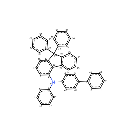 c1ccc(-c2ccc(N(c3ccccc3)c3cccc4c3-c3ccccc3C4(c3ccccc3)c3ccccc3)cc2)cc1